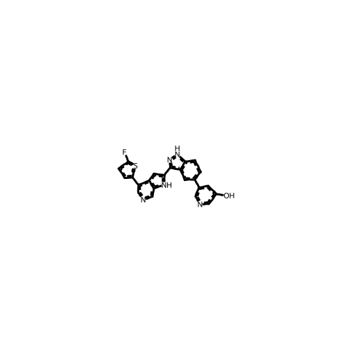 Oc1cncc(-c2ccc3[nH]nc(-c4cc5c(-c6ccc(F)s6)cncc5[nH]4)c3c2)c1